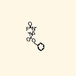 CN(SN(C)C(=O)OCc1ccccc1)C(=O)F